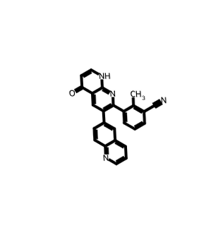 Cc1c(C#N)cccc1-c1nc2[nH]ccc(=O)c2cc1-c1ccc2ncccc2c1